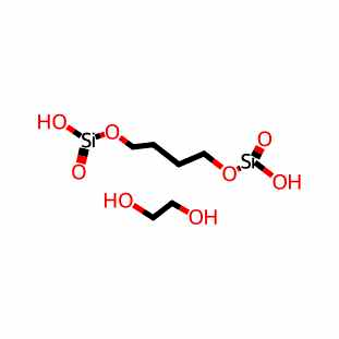 O=[Si](O)OCCCCO[Si](=O)O.OCCO